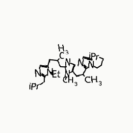 CCn1c(CC(C)Cc2ncc(CC(C)c3nccn3CCCC(C)C)n2C)cnc1CC(C)C